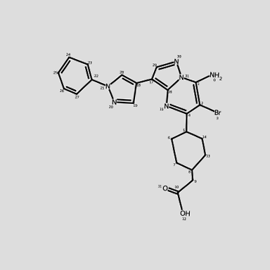 Nc1c(Br)c(C2CCC(CC(=O)O)CC2)nc2c(-c3cnn(-c4ccccc4)c3)cnn12